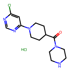 Cl.O=C(C1CCN(c2cc(Cl)ncn2)CC1)N1CCNCC1